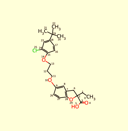 CCC1(C(=O)O)Cc2cc(OCCCOc3ccc(C(C)(C)C)cc3Cl)ccc2O1